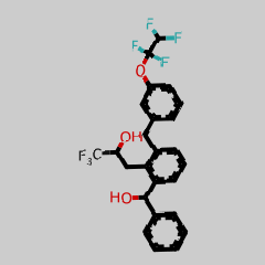 OC(c1ccccc1)c1cccc(Cc2cccc(OC(F)(F)C(F)F)c2)c1CC(O)C(F)(F)F